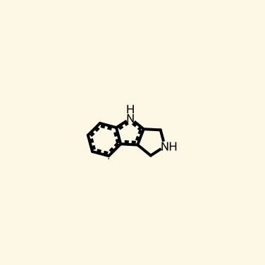 [c]1cccc2[nH]c3c(c12)CNC3